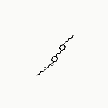 CCCCOCCOC1CCC(C=CC2CCC(OCCCC)CC2)CC1